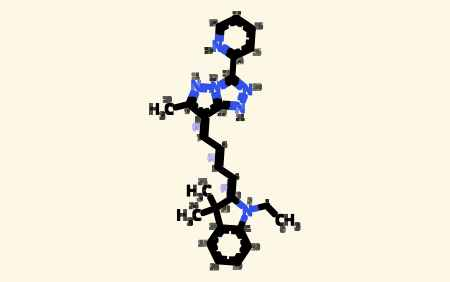 CCN1/C(=C/C=C/C=c2/c(C)nn3c(-c4ccccn4)nnc23)C(C)(C)c2ccccc21